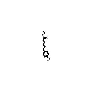 CCOC(=O)CCCCCc1ccc(OC)cc1